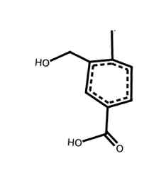 [CH2]c1ccc(C(=O)O)cc1CO